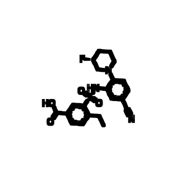 CCc1ccc(C(=O)O)cc1S(=O)(=O)Nc1cc(C#N)ccc1N1CCC[C@@H](F)C1